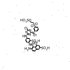 CCN(c1cccc(S(=O)(=O)CCOS(=O)(=O)O)c1)c1nc(Cl)nc(Nc2ccc(N=Nc3c(N)ccc4cc(S(=O)(=O)O)cc(O)c34)c(S(=O)(=O)O)c2)n1